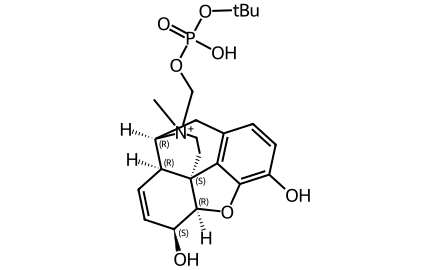 CC(C)(C)OP(=O)(O)OC[N+]1(C)CC[C@]23c4c5ccc(O)c4O[C@H]2[C@@H](O)C=C[C@H]3[C@H]1C5